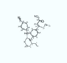 CCC1COCCN1c1ccc(/C(=C/C(=O)O)COC)cc1Nc1ccc(C#N)cc1